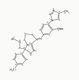 COc1cc(/C=C2\CCCN3C2=NOC3(COC(C)C)c2ccc(C)cc2)ccc1-n1cnc(C)c1